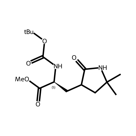 COC(=O)[C@H](CC1CC(C)(C)NC1=O)NC(=O)OC(C)(C)C